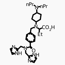 CCCN(CCC)C1CCC(N(Cc2ccc(C(=O)N(Cc3ncc[nH]3)Cc3ncc[nH]3)cc2)C(CC)C(=O)O)CC1